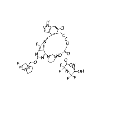 O=C(O)C(F)(F)F.O=C(O)C(F)(F)F.O=C1COCCCc2c(Cl)cc3[nH]ncc3c2-c2ncc3c(nc(OC[C@@]45CCCN4C[C@H](F)C5)nc3c2F)N2CCC[C@H](C2)O1